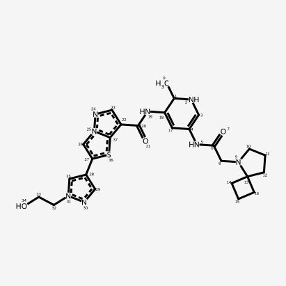 CC1NC=C(NC(=O)CN2CCCC23CCC3)C=C1NC(=O)c1cnn2cc(-c3cnn(CCO)c3)sc12